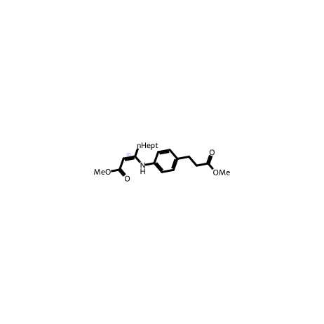 CCCCCCC/C(=C/C(=O)OC)Nc1ccc(CCC(=O)OC)cc1